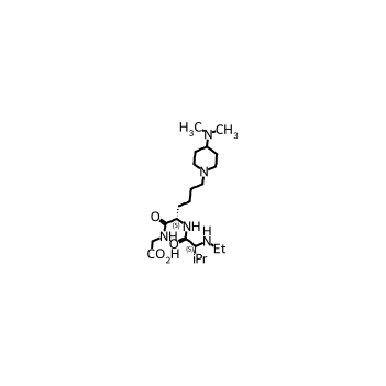 CCN[C@H](C(=O)N[C@@H](CCCCN1CCC(N(C)C)CC1)C(=O)NCC(=O)O)C(C)C